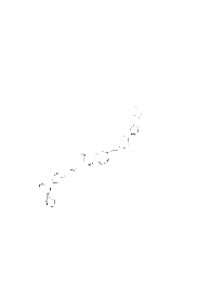 O=C1CCC(Nc2ccc(C3CCN(CCC4CCN(C(=O)[C@@H]5CCC[C@H](Nc6ncc(F)c(-c7cccc(-n8ccccc8=O)c7)n6)C5)CC4)CC3)c(F)c2)C(=O)N1